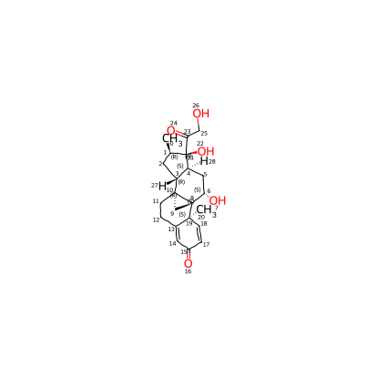 C[C@@H]1C[C@@H]2[C@H](C[C@H](O)[C@@]34C[C@]23CCC2=CC(=O)C=C[C@@]24C)[C@@]1(O)C(=O)CO